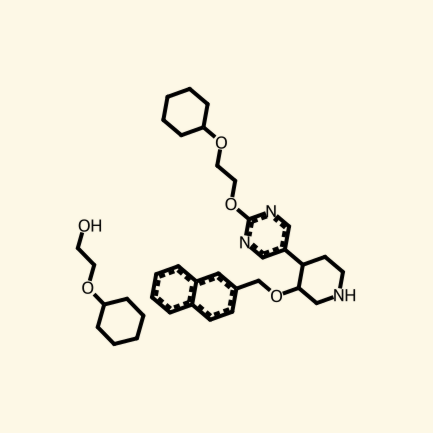 OCCOC1CCCCC1.c1ccc2cc(COC3CNCCC3c3cnc(OCCOC4CCCCC4)nc3)ccc2c1